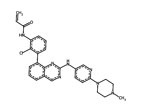 C=CC(=O)Nc1cccc(-c2cccc3cnc(Nc4ccc(N5CCN(C)CC5)nc4)nc23)c1Cl